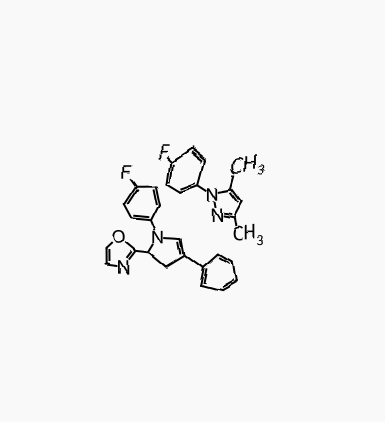 Cc1cc(C)n(-c2ccc(F)cc2)n1.Fc1ccc(N2C=C(c3ccccc3)CC2c2ncco2)cc1